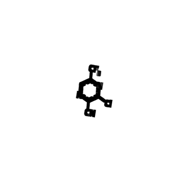 N#Cc1ncc(C(F)(F)F)nc1Cl